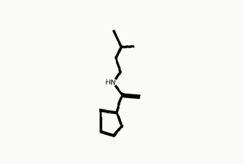 C=C(NCCC(C)C)C1CCCC1